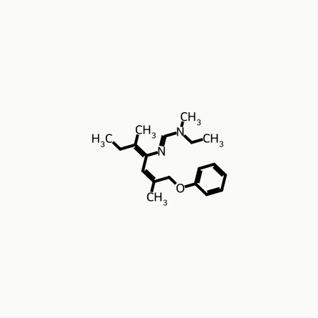 CC/C(C)=C(\C=C(\C)COc1ccccc1)/N=C/N(C)CC